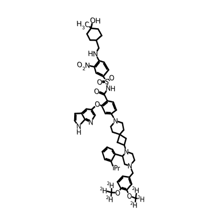 [2H]C([2H])([2H])Oc1ccc(CN2CCN(C3CC4(CCN(c5ccc(C(=O)NS(=O)(=O)c6ccc(NCC7CCC(C)(O)CC7)c([N+](=O)[O-])c6)c(Oc6cnc7[nH]ccc7c6)c5)CC4)C3)C(c3ccccc3C(C)C)C2)cc1OC([2H])([2H])[2H]